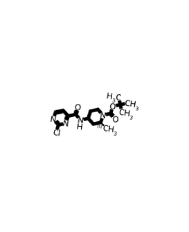 C[C@H]1CC(NC(=O)c2ccnc(Cl)n2)CCN1C(=O)OC(C)(C)C